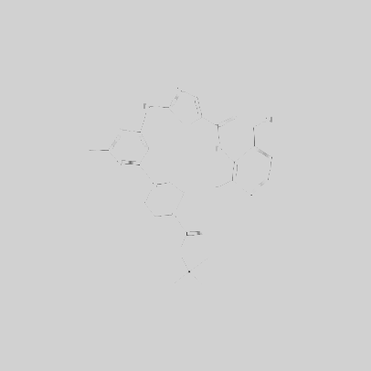 Cc1nc(Nc2ncc(C(=O)Nc3c(Cl)cccc3CN)s2)cc(N2CCN(C(=O)OC(C)(C)C)CC2)n1